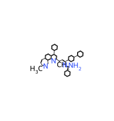 C=C(/C=C(\N=C(/N)c1ccccc1)c1ccc(-c2ccccc2)cc1)c1cc(-c2ccccc2)c2ccc3c(c2n1)CN=C(C)C=C3